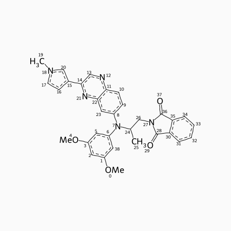 COc1cc(OC)cc(N(c2ccc3ncc(-c4ccn(C)c4)nc3c2)C(C)CN2C(=O)c3ccccc3C2=O)c1